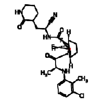 Cc1c(Cl)cccc1N[C@@H](C)C(=O)N1[C@H]2CC[C@@H]([C@@H]1C(=O)N[C@H](C#N)C[C@@H]1CCCNC1=O)C(F)(F)C2